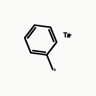 [CH]c1ccccc1.[Ta]